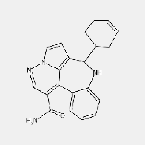 NC(=O)c1cnn2ccc3c2c1-c1ccccc1NC3C1CC=CCC1